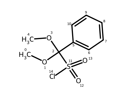 COC(OC)(c1ccccc1)S(=O)(=O)Cl